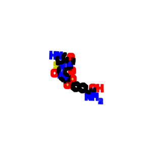 CC1Cc2nc(C(=O)N3CCN(S(=O)(=O)c4ccc5cc(/C(N)=N\O)ccc5c4)CC3CC(=O)N3CCOCC3)sc2CN1